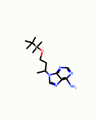 CC(CCO[Si](C)(C)C(C)(C)C)n1cnc2c(N)ncnc21